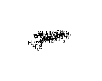 CCCCN(CCCC)c1[nH]n(-c2ccc(NC(=O)C(CC)Oc3ccc(C(C)(C)CC)cc3C(C)(C)CC)cc2)c(=O)c1Sc1nnnn1-c1ccccc1